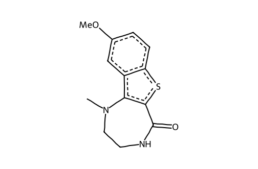 COc1ccc2sc3c(c2c1)N(C)CCNC3=O